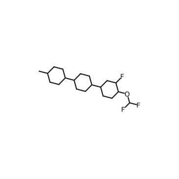 CC1CCC(C2CCC(C3CCC(OC(F)F)C(F)C3)CC2)CC1